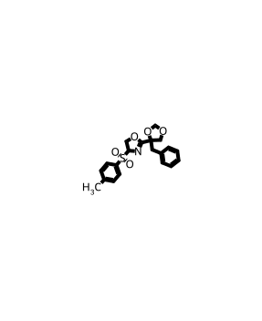 Cc1ccc(S(=O)(=O)C2COC(C3(Cc4ccccc4)COCO3)=N2)cc1